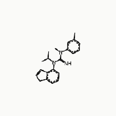 Cc1cccc(N(C)C(=N)N(c2cccc3c2C=CC3)C(C)C)c1